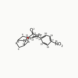 CCCC(=O)N1CC2CCC(C1)N2CC=Cc1ccc([N+](=O)[O-])cc1